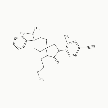 COCCN1C(=O)N(c2cnc(C#N)cc2C)CC12CCC(c1ccccc1)(N(C)C)CC2